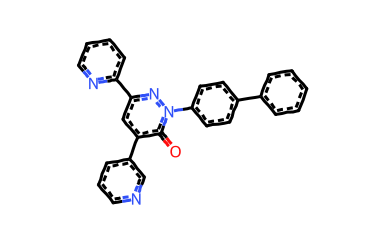 O=c1c(-c2cccnc2)cc(-c2ccccn2)nn1-c1ccc(-c2ccccc2)cc1